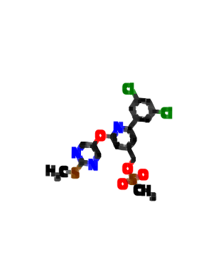 CSc1ncc(Oc2cc(COS(C)(=O)=O)cc(-c3cc(Cl)cc(Cl)c3)n2)cn1